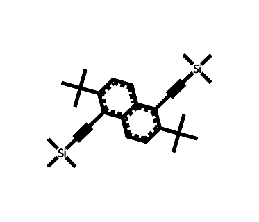 CC(C)(C)c1ccc2c(C#C[Si](C)(C)C)c(C(C)(C)C)ccc2c1C#C[Si](C)(C)C